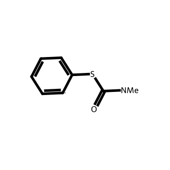 CNC(=O)Sc1[c]cccc1